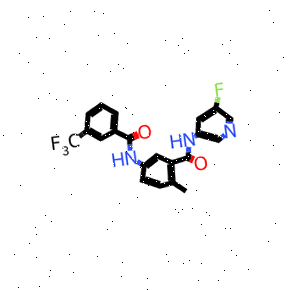 Cc1ccc(NC(=O)c2cccc(C(F)(F)F)c2)cc1C(=O)Nc1cncc(F)c1